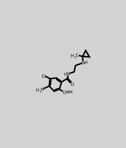 COc1cc(N)c(Cl)cc1C(=O)NCCNC1(C)CC1